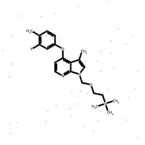 Cc1ccc(Oc2ccnc3c2c(C)cn3COCC[Si](C)(C)C)cc1F